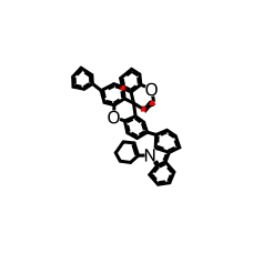 C1=C(n2c3ccccc3c3cccc(-c4ccc5c(c4)C4(c6ccccc6Oc6ccccc64)c4ccc(-c6ccccc6)cc4O5)c32)CCCC1